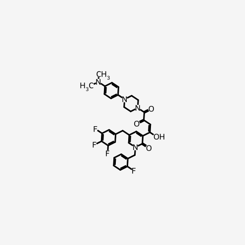 CN(C)c1ccc(N2CCN(C(=O)C(=O)/C=C(/O)c3cc(Cc4cc(F)c(F)c(F)c4)cn(Cc4ccccc4F)c3=O)CC2)cc1